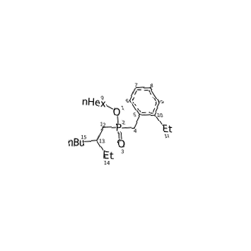 CCCCCCOP(=O)(Cc1ccccc1CC)CC(CC)CCCC